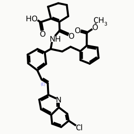 COC(=O)c1ccccc1CCC(NC(=O)C1=C(C(=O)O)CCCC1)c1cccc(/C=C/c2ccc3ccc(Cl)cc3n2)c1